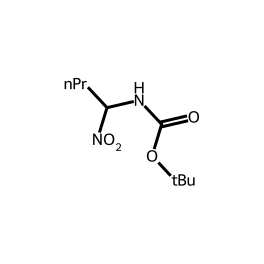 CCCC(NC(=O)OC(C)(C)C)[N+](=O)[O-]